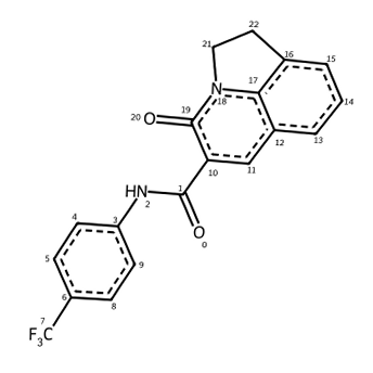 O=C(Nc1ccc(C(F)(F)F)cc1)c1cc2cccc3c2n(c1=O)CC3